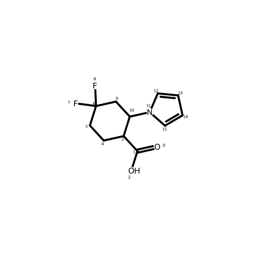 O=C(O)C1CCC(F)(F)CC1n1cccc1